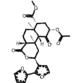 COC(=O)[C@@H]1C[C@H](OC(C)=O)C(=O)[C@H]2[C@@]1(C)CC[C@H]1C(=O)O[C@H](c3ccoc3-c3ccco3)C[C@]21C